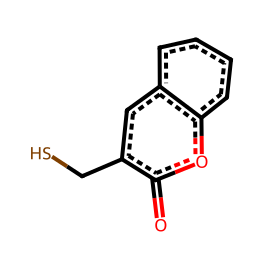 O=c1oc2ccccc2cc1CS